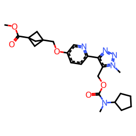 COC(=O)C12CC(COc3ccc(-c4nnn(C)c4COC(=O)N(C)C4CCCC4)nc3)(C1)C2